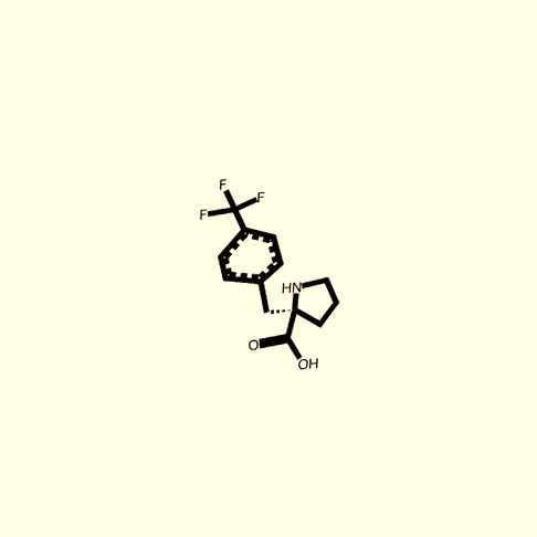 O=C(O)[C@]1(Cc2ccc(C(F)(F)F)cc2)CCCN1